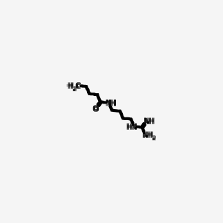 [CH2]CCCC(=O)NCCCCNC(=N)N